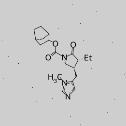 CC[C@H]1C(=O)N(C(=O)OC2CC3CCC2C3)C[C@@H]1Cc1cncn1C